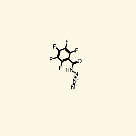 [N-]=[N+]=NNC(=O)c1c(F)c(F)c(F)c(F)c1F